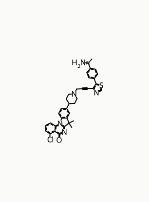 C[C@H](N)c1ccc(-c2scnc2C#CCN2CCC(c3ccc4c(c3)C(C)(C)c3nc(=O)c5c(Cl)cccc5n3-4)CC2)cc1